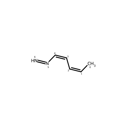 C/C=C\C=C/N=N